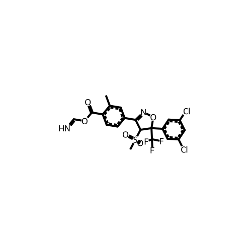 Cc1cc(C2=NOC(c3cc(Cl)cc(Cl)c3)(C(F)(F)F)C2S(C)(=O)=O)ccc1C(=O)OC=N